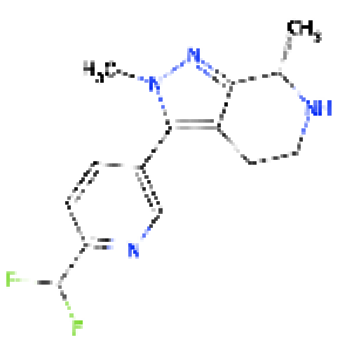 C[C@@H]1NCCc2c1nn(C)c2-c1ccc(C(F)F)nc1